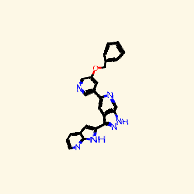 c1ccc(COc2cncc(-c3cc4c(-c5cc6cccnc6[nH]5)n[nH]c4cn3)c2)cc1